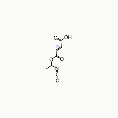 CC(N=C=O)OC(=O)/C=C/C(=O)O